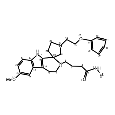 CCNC(=O)CCCN1CCc2c([nH]c3ccc(OC)cc23)C12CCN(CCOc1ccccc1)C2